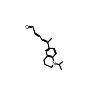 CC(=CC=CC=O)c1ccc2c(c1)CCCN2C(C)C